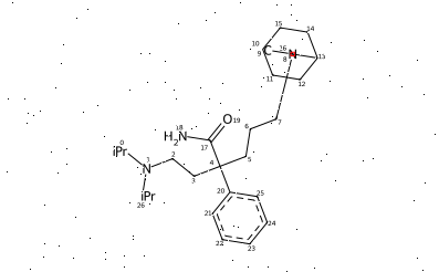 CC(C)N(CCC(CCCN1CC2CCC(CC2)C1)(C(N)=O)c1ccccc1)C(C)C